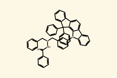 N=C(NN(Cc1ccccc1)Cc1cccc(-n2c3ccccc3c3ccc4c(c32)C(c2ccccc2)(c2ccccc2)c2ccccc2-4)c1)c1ccccc1